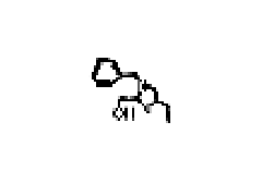 CCC1CN(Cc2ccccc2)C(CO)=N1